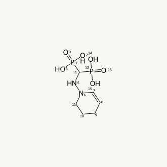 O=P(O)(O)C(NN1C=CCCC1)P(=O)(O)O